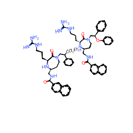 CCOC(=O)C(CN1CC[C@@H](CNC(=O)c2ccc3ccccc3c2)N[C@@H](CCCNC(=N)N)C1=O)c1ccccc1.N=C(N)NCCC[C@@H]1N[C@H](CNC(=O)c2ccc3ccccc3c2)CCN(CC(Oc2ccccc2)c2ccccc2)C1=O